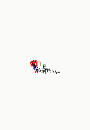 CCCCCCCc1ccc(CCCCC(=O)N2CC(OP(=O)(O)O)C2)c(CF)c1